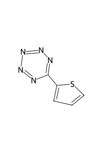 c1csc(-c2nnnnn2)c1